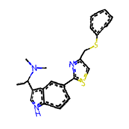 CC(c1c[nH]c2ccc(-c3nc(CSc4ccccc4)cs3)cc12)N(C)C